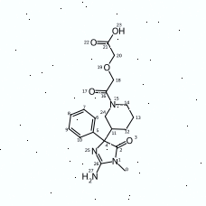 CN1C(=O)C(c2ccccc2)(C2CCCN(C(=O)COCC(=O)O)C2)N=C1N